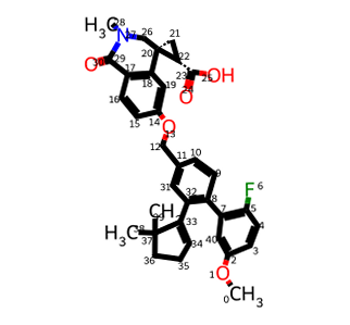 COc1ccc(F)c(-c2ccc(COc3ccc4c(c3)[C@@]3(C[C@@H]3C(=O)O)CN(C)C4=O)cc2C2=CCCC2(C)C)c1